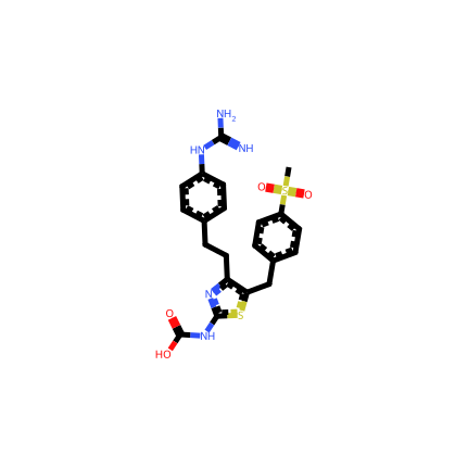 CS(=O)(=O)c1ccc(Cc2sc(NC(=O)O)nc2CCc2ccc(NC(=N)N)cc2)cc1